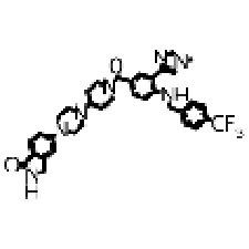 Cn1cnc(-c2cc(C(=O)N3CCC(N4CCN(c5ccc6c(c5)CNC6=O)CC4)CC3)ccc2NCc2ccc(C(F)(F)F)cc2)c1